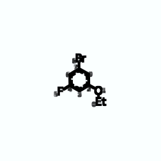 CCOc1cc(F)cc(Br)c1